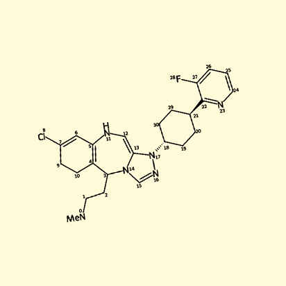 CNCCC1C2=C(C=C(Cl)CC2)NC=C2N1C=NN2[C@H]1CC[C@H](c2ncccc2F)CC1